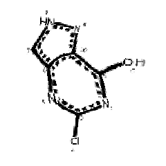 Oc1nc(Cl)nc2c[nH]nc12